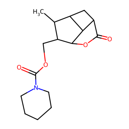 CC1C(COC(=O)N2CCCCC2)C2OC(=O)C3CC1C32